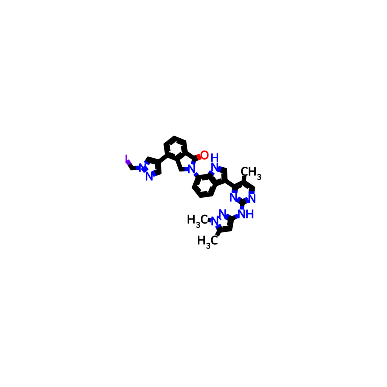 Cc1cnc(Nc2cc(C)n(C)n2)nc1-c1c[nH]c2c(N3Cc4c(cccc4-c4cnn(CI)c4)C3=O)cccc12